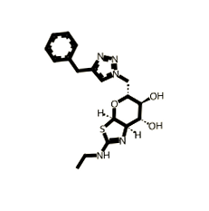 CCNC1=N[C@@H]2[C@@H](O)[C@H](O)[C@@H](Cn3cc(Cc4ccccc4)nn3)O[C@@H]2S1